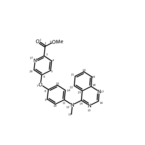 COC(=O)c1ccc(Oc2ccc(N(C)c3ncnc4ccccc34)cc2)cn1